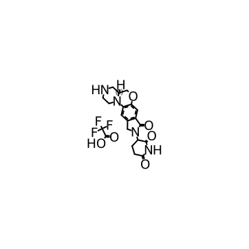 O=C(O)C(F)(F)F.O=C1CCC(N2Cc3cc4c(cc3C2=O)OC[C@H]2CNCCN42)C(=O)N1